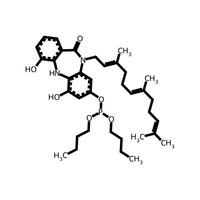 CCCCOP(OCCCC)Oc1cc(O)c2c(c1)N(C/C=C(\C)CC/C=C(\C)CCC=C(C)C)C(=O)c1cccc(O)c1N2